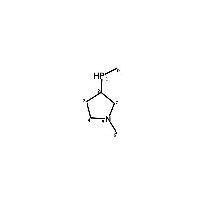 CPC1CCN(C)C1